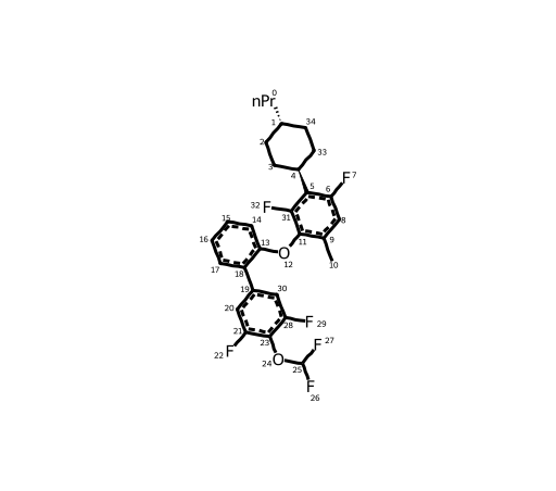 CCC[C@H]1CC[C@H](c2c(F)cc(C)c(Oc3ccccc3-c3cc(F)c(OC(F)F)c(F)c3)c2F)CC1